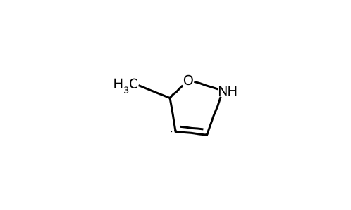 CC1[C]=CNO1